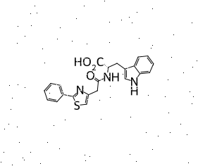 O=C(Cc1csc(-c2ccccc2)n1)N[C@@H](Cc1c[nH]c2ccccc12)C(=O)O